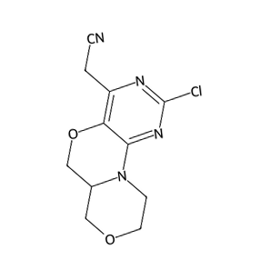 N#CCc1nc(Cl)nc2c1OCC1COCCN21